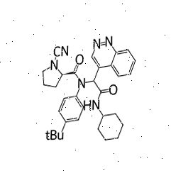 CC(C)(C)c1ccc(N(C(=O)[C@H]2CCCN2C#N)C(C(=O)NC2CCCCC2)c2cnnc3ccccc23)cc1